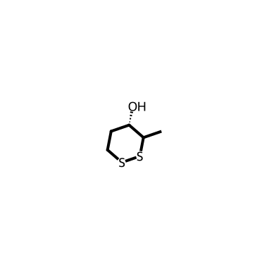 CC1SSCC[C@@H]1O